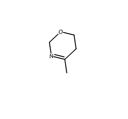 CC1=NCOCC1